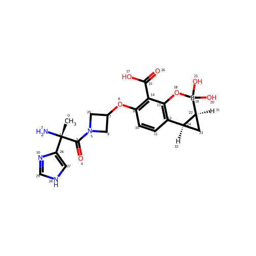 C[C@@](N)(C(=O)N1CC(Oc2ccc3c(c2C(=O)O)O[B-](O)(O)[C@H]2C[C@@H]32)C1)c1c[nH]cn1